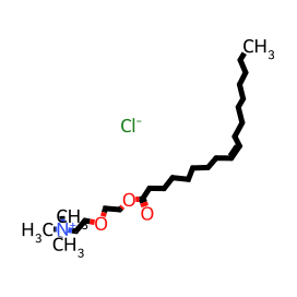 CCCCCCCC/C=C\CCCCCCCC(=O)OCCOCC[N+](C)(C)C.[Cl-]